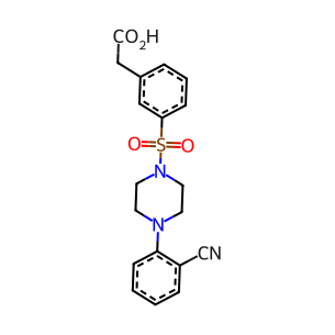 N#Cc1ccccc1N1CCN(S(=O)(=O)c2cccc(CC(=O)O)c2)CC1